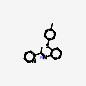 C/C(=N\c1ccccc1Sc1ccc(C)cc1)c1ccccn1